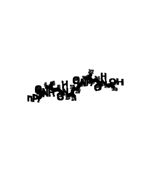 CCCC(=O)NCC(C)CCC(=O)NCC(C)CCC(=O)NCC(C)CCC(=O)NCC(C)O